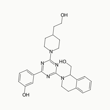 OCCC1CCN(c2nc(-c3cccc(O)c3)nc(N3CCc4ccccc4C3CO)n2)CC1